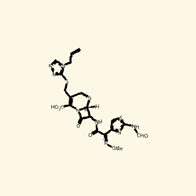 C=CCn1cnnc1SCC1=C(C(=O)O)N2C(=O)C(NC(=O)/C(=N/OC)c3csc(NC=O)n3)[C@H]2SC1